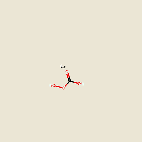 O=C(O)OO.[Eu]